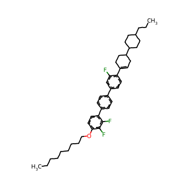 CCCCCCCCCOc1ccc(-c2ccc(-c3ccc(C4=CCC(C5CCC(CCC)CC5)CC4)c(F)c3)cc2)c(F)c1F